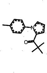 Cc1ccc(-n2cccc2C(=O)C(C)(C)C)cc1